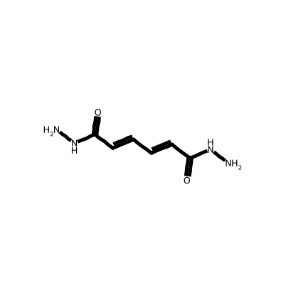 NNC(=O)C=CC=CC(=O)NN